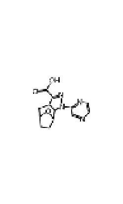 O=C(O)C1=NN(c2cnccn2)C2C3CCC(CC12)O3